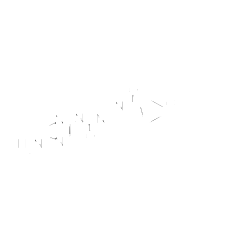 Nc1cnc(NC(=O)N2CCN(C(=O)c3cccc(OCCC4CCCCC4)c3)CC2)cn1